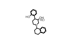 Cl.Oc1ccccc1C1CCN(C2CCCc3ccccc32)CC1O